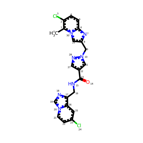 Cc1c(Cl)ccc2nc(Cn3cc(C(=O)NCc4ncn5ccc(Cl)cc45)cn3)cn12